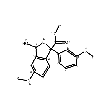 COC(=O)C1(c2cccc(SC)c2)OB(O)c2cc(OC)ccc21